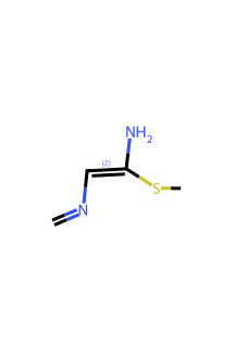 C=N/C=C(/N)SC